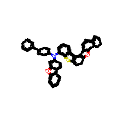 c1ccc(-c2ccc(N(c3ccc4c(c3)oc3ccccc34)c3cccc4c3sc3ccc5oc6c7ccccc7ccc6c5c34)cc2)cc1